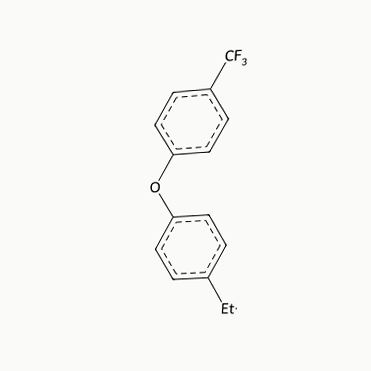 C[CH]c1ccc(Oc2ccc(C(F)(F)F)cc2)cc1